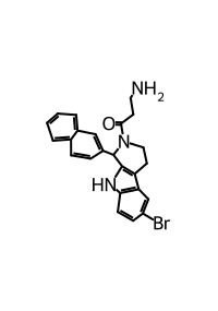 NCCC(=O)N1CCc2c([nH]c3ccc(Br)cc23)C1c1ccc2ccccc2c1